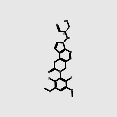 COc1cc(OC)c(F)c(N2Cc3cnc4c(ccn4N[C@H](C=O)CO)c3CC2=O)c1F